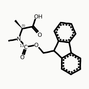 C[C@@H](C(=O)O)N(C)[13C](=O)OCC1c2ccccc2-c2ccccc21